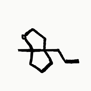 C=CCC12CCCC1(C)OCC2